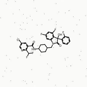 O=C(NC1CCC(CN2C(=O)C(O)(c3ccccc3F)c3c(F)cc(F)cc32)CC1)c1cc(Cl)cnc1C(F)F